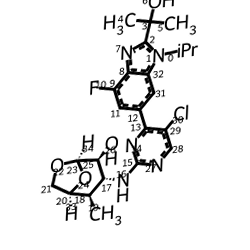 CC(C)n1c(C(C)(C)O)nc2c(F)cc(-c3nc(N[C@@H]4[C@@H](C)[C@H]5CO[C@H](O5)[C@H]4O)ncc3Cl)cc21